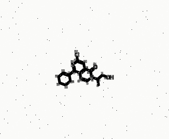 CC(CO)n1cnc2c(C3=CCCCC3)nc(Cl)cc2c1=O